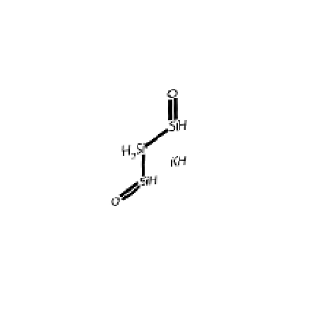 O=[SiH][SiH2][SiH]=O.[KH]